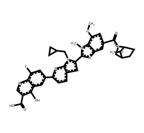 COc1cc(C(=O)N2CC3CCC2[C@@H]3N)cc2nc(-c3cc4ccc(-c5cc(F)c6ncc(C(=O)O)c(O)c6c5)nc4n3CC3CC3)n(C)c12